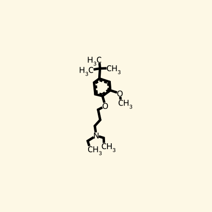 CCN(CC)CCCOc1ccc(C(C)(C)C)cc1OC